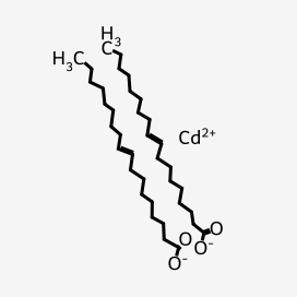 CCCCCCCCC=CCCCCCCCC(=O)[O-].CCCCCCCCC=CCCCCCCCC(=O)[O-].[Cd+2]